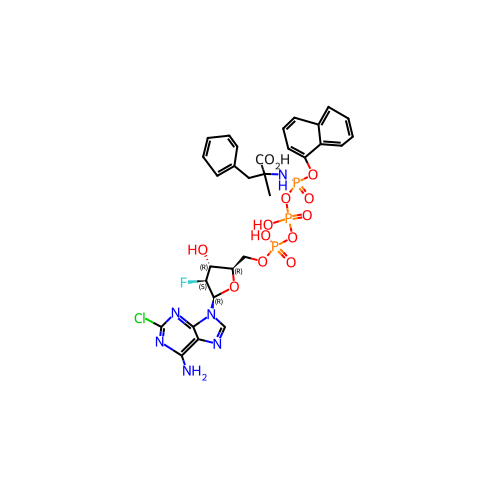 CC(Cc1ccccc1)(NP(=O)(Oc1cccc2ccccc12)OP(=O)(O)OP(=O)(O)OC[C@H]1O[C@@H](n2cnc3c(N)nc(Cl)nc32)[C@@H](F)[C@@H]1O)C(=O)O